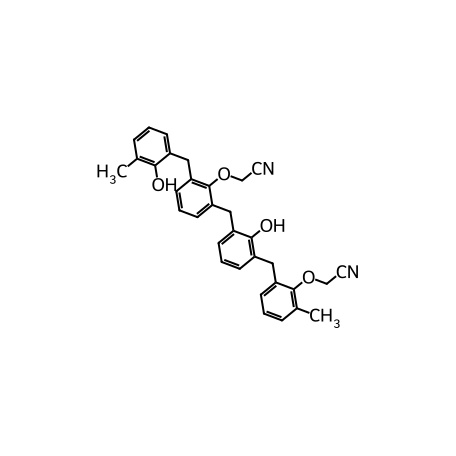 Cc1cccc(Cc2cccc(Cc3cccc(Cc4cccc(C)c4OCC#N)c3O)c2OCC#N)c1O